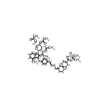 CC(=O)C[C@@H]1[C@@H](OC(C)=O)[C@H](n2cc(Cc3ccc(/C=C/CCN4CCCC5(CCN(C(=O)OC(C)(C)C)CC5)C4)cc3)c3c(C)cccc32)O[C@H](COC(C)=O)[C@H]1OC(C)=O